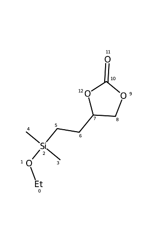 CCO[Si](C)(C)CCC1COC(=O)O1